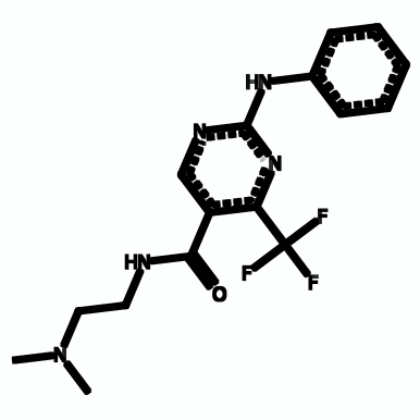 CN(C)CCNC(=O)c1cnc(Nc2ccccc2)nc1C(F)(F)F